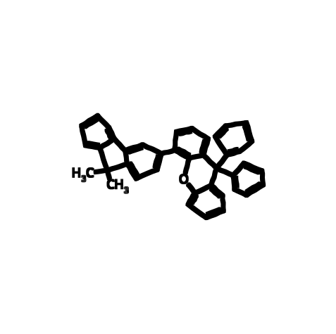 CC1(C)c2ccccc2-c2cc(-c3cccc4c3Oc3ccccc3C4(c3ccccc3)c3ccccc3)ccc21